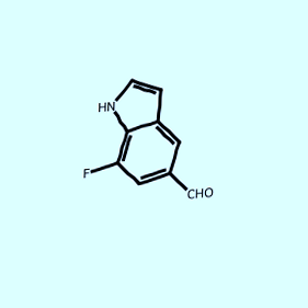 O=Cc1cc(F)c2[nH]ccc2c1